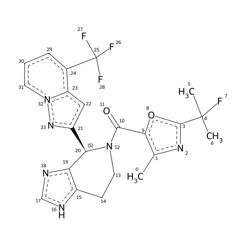 Cc1nc(C(C)(C)F)oc1C(=O)N1CCc2[nH]cnc2[C@H]1c1cc2c(C(F)(F)F)cccn2n1